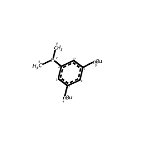 CCCCc1cc(CCCC)cc(P(C)C)c1